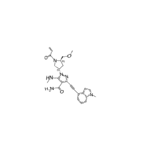 C=CC(=O)N1C[C@@H](n2nc(C#Cc3cccc4c3ccn4C)c(C(N)=O)c2NC)C[C@@H]1COC